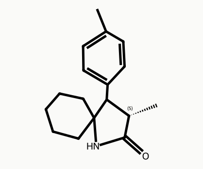 Cc1ccc(C2[C@H](C)C(=O)NC23CCCCC3)cc1